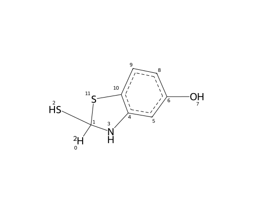 [2H]C1(S)Nc2cc(O)ccc2S1